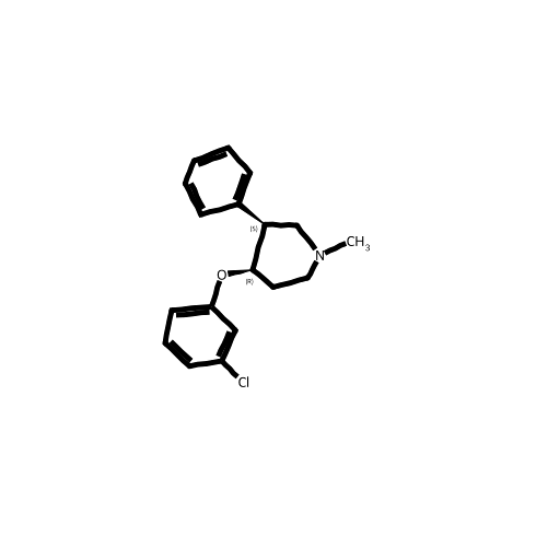 CN1CC[C@@H](Oc2cccc(Cl)c2)[C@@H](c2ccccc2)C1